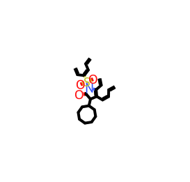 C=C/C=C\C1=C(C=C)N(S(=O)(=O)/C(C=C)=C/C=C)C(=O)C1C1CCCCCCC1